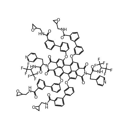 O=C(NCC1CO1)c1cccc(-c2cccc(Oc3cc4c5c(cc(Oc6cccc(-c7cccc(C(=O)NCC8CO8)c7)c6)c6c7c(Oc8cccc(-c9cccc(C(=O)NCC%10CO%10)c9)c8)cc8c9c(cc(Oc%10cccc(-c%11cccc(C(=O)NCC%12CO%12)c%11)c%10)c(c3c56)c97)C(=O)N(C(Cc3ccncc3)C(=O)NC(C(F)(F)F)C(F)(F)F)C8=O)C(=O)N(C(Cc3ccncc3)C(=O)NC(C(F)(F)F)C(F)(F)F)C4=O)c2)c1